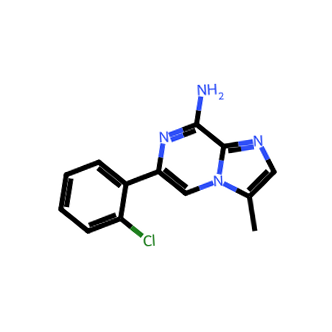 Cc1cnc2c(N)nc(-c3ccccc3Cl)cn12